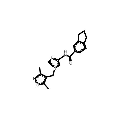 Cc1noc(C)c1Cn1cnc(NC(=O)c2ccc3c(c2)CCC3)c1